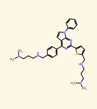 CN(C)CCCNCc1ccc(-c2nc(-c3ccc(CNCCCN(C)C)s3)nc3c2ccn3-c2ccccc2)cc1